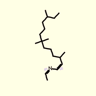 C/C=N\C=C/C(C)CCCC(C)(C)CCCC(C)CC